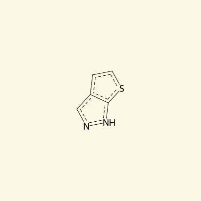 c1cc2cn[nH]c2s1